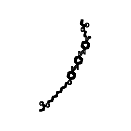 C=CC(=O)OCCN(C)c1ccc(N=Nc2ccc(N=Nc3ccc(OCCCCCCCCCOC(=O)CC)cc3)cc2)cc1